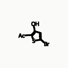 CC(=O)c1sc(Br)cc1O